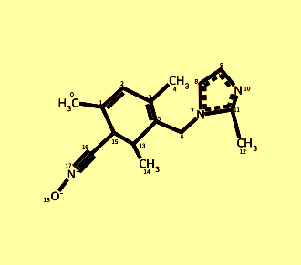 CC1=CC(C)=C(Cn2ccnc2C)C(C)C1C#[N+][O-]